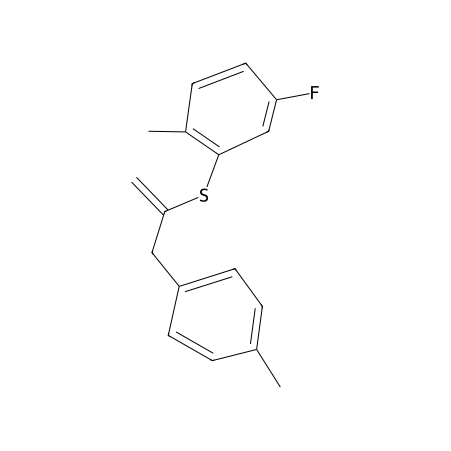 C=C(Cc1ccc(C)cc1)Sc1cc(F)ccc1C